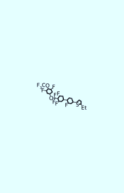 CCc1ccc(-c2ccc(-c3cc(F)c(C(F)(F)Oc4cc(F)c(OC(F)(F)F)c(F)c4)c(F)c3)c(F)c2)s1